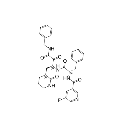 O=C(NCc1ccccc1)C(=O)[C@H](C[C@@H]1CCCNC1=O)NC(=O)[C@H](Cc1ccccc1)NC(=O)c1cncc(F)c1